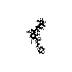 Cn1cc(-c2cc3c(ncc4cnn(C)c43)[nH]2)c2cc(C(=O)NCCN3CCOCC3)ccc21